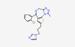 Cc1nnc2n1-c1sc(CCCn3ccnc3)cc1C(c1ccccc1Cl)=NC2